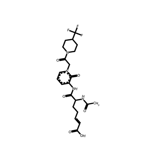 CC(=O)NC(CCC=CC(=O)O)C(=O)Nc1cccn(CC(=O)N2CCC(C(F)(F)F)CC2)c1=O